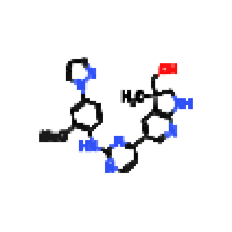 COc1cc(-n2cccn2)ccc1Nc1nccc(-c2cnc3c(c2)C(C)(CO)CN3)n1